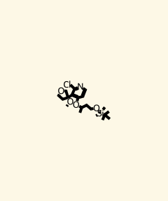 COC1(c2c(OC(C)CCO[Si](C)(C)C(C)(C)C)ccnc2Cl)CCOC1